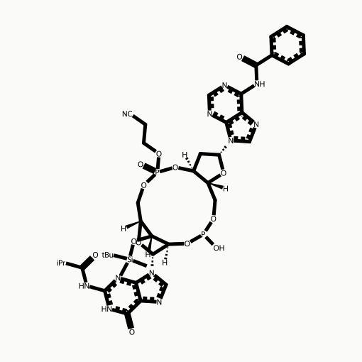 CC(C)C(=O)Nc1nc2c(ncn2[C@@H]2O[C@@H]3COP(=O)(OCCC#N)O[C@H]4C[C@H](n5cnc6c(NC(=O)c7ccccc7)ncnc65)O[C@@H]4COP(O)O[C@@H]2[C@@H]3O[Si](C)(C)C(C)(C)C)c(=O)[nH]1